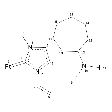 C=Cn1ccn(C)[c]1=[Pt].IN(I)C1CCCCCC1